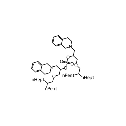 CCCCCCCC(CCCCC)COCC(CN1CCc2ccccc2C1)OS(=O)(=O)OC(COCC(CCCCC)CCCCCCC)CN1CCc2ccccc2C1